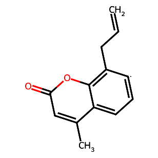 C=CCc1[c]ccc2c(C)cc(=O)oc12